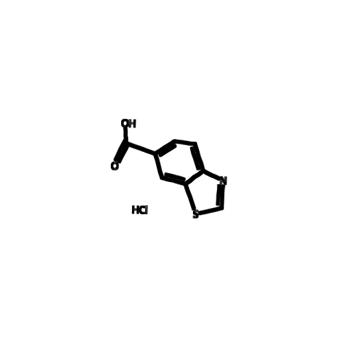 Cl.O=C(O)c1ccc2ncsc2c1